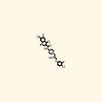 Cn1cc(C(=O)NN2CCN(C[C@H](O)COc3ccc(Cl)c(F)c3)CC2)c(=O)c2cc(F)c(Cl)cc21